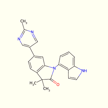 Cc1ncc(-c2ccc3c(c2)N(c2cccc4[nH]ccc24)C(=O)C3(C)C)cn1